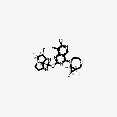 [2H]C([2H])(Oc1nc(N2CCOC[C@H]3[C@H](F)[C@H]32)c2cnc(Cl)c(F)c2n1)[C@@]12CCCN1[C@H](C)[C@H](F)C2